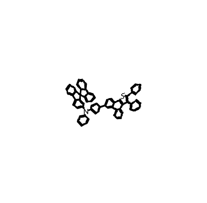 c1ccc(-c2sc3c4ccc(-c5ccc(N(c6ccccc6)c6ccc7c(c6)C6(c8ccccc8-c8ccccc86)c6ccccc6-7)cc5)cc4c4ccccc4c3c2-c2ccccc2)cc1